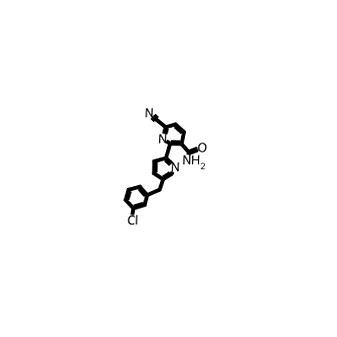 N#Cc1ccc(C(N)=O)c(-c2ccc(Cc3cccc(Cl)c3)cn2)n1